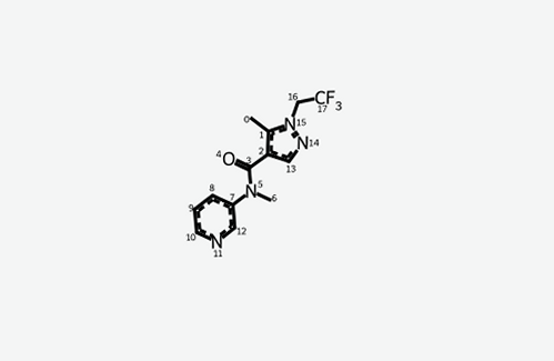 Cc1c(C(=O)N(C)c2cccnc2)cnn1CC(F)(F)F